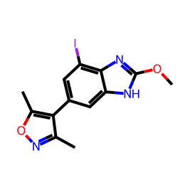 COc1nc2c(I)cc(-c3c(C)noc3C)cc2[nH]1